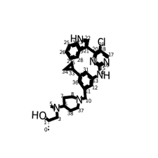 C[C@H](O)CN(C)C1CCN(Cc2cc(Nc3ncc(Cl)c(-c4c[nH]c5ccccc45)n3)cc(C3CC3)c2)CC1